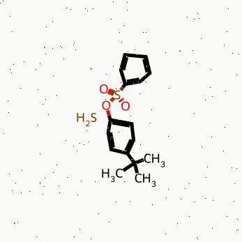 CC(C)(C)c1ccc(OS(=O)(=O)c2ccccc2)cc1.S